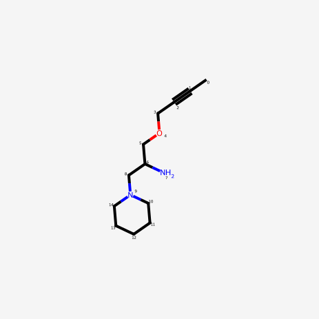 CC#CCOCC(N)CN1CCCCC1